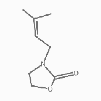 CC(C)=CCN1CCOC1=O